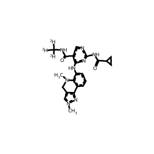 [2H]C([2H])([2H])NC(=O)c1cnc(NC(=O)C2CC2)nc1Nc1cccc2c1N(C)Cc1cn(C)nc1-2